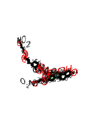 COc1cc(/C=C/C(=O)OCCCCO[N+](=O)[O-])ccc1OC(=O)OCC(=O)[C@@]1(OC(=O)CCCO[N+](=O)[O-])[C@@H](C)CC2C3CCC4=CC(=O)C=C[C@]4(C)[C@@]3(Cl)[C@@H](O)C[C@@]21C